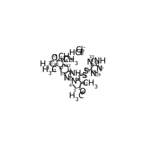 COc1cc[n+](-c2nc3cc4c(cc3[nH]2)C(C)(C)C(=O)C4(C)C)c(CSSc2ncnc3[nH]cnc23)c1C.Cl.[Cl-]